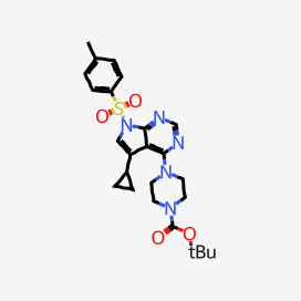 Cc1ccc(S(=O)(=O)n2cc(C3CC3)c3c(N4CCN(C(=O)OC(C)(C)C)CC4)ncnc32)cc1